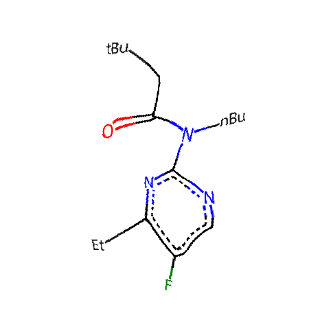 CCCCN(C(=O)CC(C)(C)C)c1ncc(F)c(CC)n1